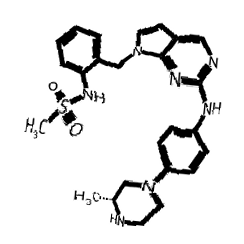 C[C@@H]1CN(c2ccc(Nc3ncc4ccn(Cc5ccccc5NS(C)(=O)=O)c4n3)cc2)CCN1